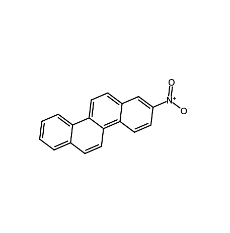 O=[N+]([O-])c1ccc2c(ccc3c4ccccc4ccc23)c1